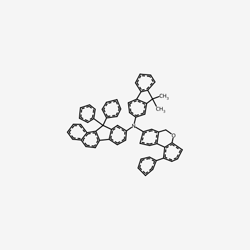 CC1(C)c2ccccc2-c2ccc(N(c3ccc4c(c3)COc3cccc(-c5ccccc5)c3-4)c3ccc4c(c3)C(c3ccccc3)(c3ccccc3)c3c-4ccc4ccccc34)cc21